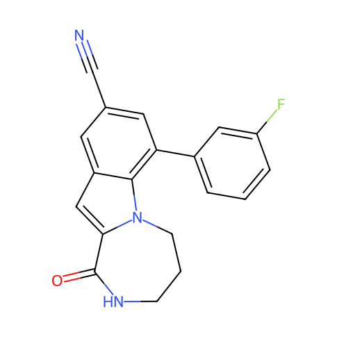 N#Cc1cc(-c2cccc(F)c2)c2c(c1)cc1n2CCCNC1=O